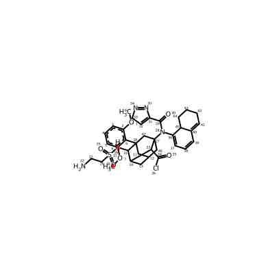 COc1cccc(OC)c1C12CC3CC(C1NS(=O)(=O)CCN)C(C(=O)Cl)C(N(C(=O)C1=CCN=N1)C1=CC=CC4=CCCCC41)(C3)C2